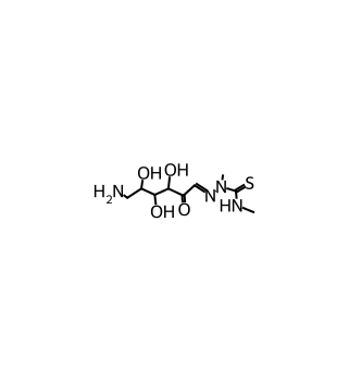 CNC(=S)N(C)N=CC(=O)C(O)C(O)C(O)CN